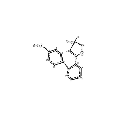 CCOC(=O)c1ccc(-c2ccccc2C2=NC(C)(C)CO2)cc1